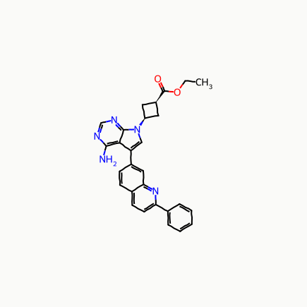 CCOC(=O)[C@H]1C[C@@H](n2cc(-c3ccc4ccc(-c5ccccc5)nc4c3)c3c(N)ncnc32)C1